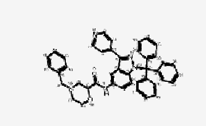 O=C(Nc1ccc2c(c1)c(-c1ccncc1)nn2C(c1ccccc1)(c1ccccc1)c1ccccc1)C1CN(Cc2ccccc2)CCO1